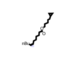 CCCC/C=C\CCCCCC(=O)OCCCCCC1CC1